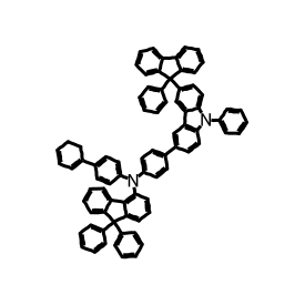 C1=CCCC(c2ccc(N(c3ccc(-c4ccc5c(c4)c4cc(C6(c7ccccc7)c7ccccc7-c7ccccc76)ccc4n5-c4ccccc4)cc3)c3cccc4c3-c3ccccc3C4(c3ccccc3)c3ccccc3)cc2)=C1